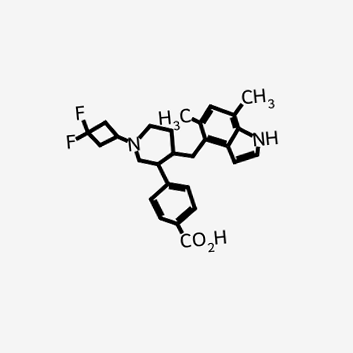 Cc1cc(C)c2[nH]ccc2c1CC1CCN(C2CC(F)(F)C2)CC1c1ccc(C(=O)O)cc1